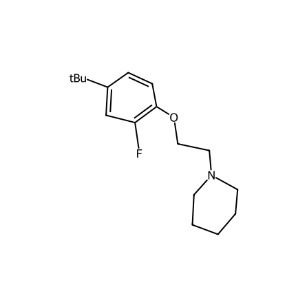 CC(C)(C)c1ccc(OCCN2CCCCC2)c(F)c1